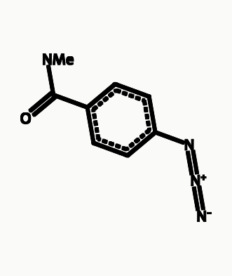 CNC(=O)c1ccc(N=[N+]=[N-])cc1